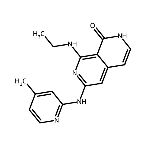 CCNc1nc(Nc2cc(C)ccn2)cc2cc[nH]c(=O)c12